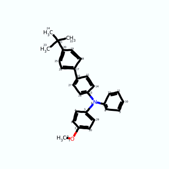 COc1ccc(N(c2ccccc2)c2ccc(-c3ccc(C(C)(C)C)cc3)cc2)cc1